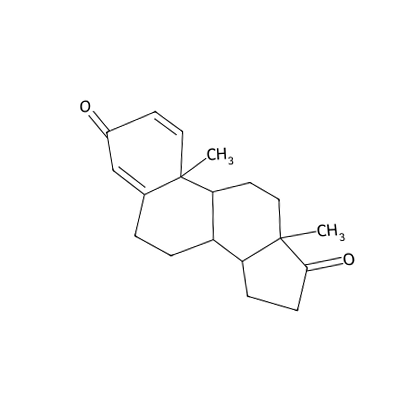 CC12C=CC(=O)C=C1CCC1C2CCC2(C)C(=O)CCC12